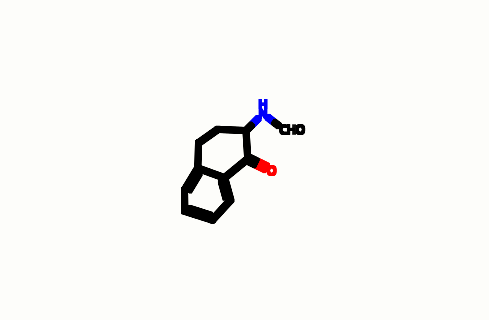 O=CNC1CCc2ccccc2C1=O